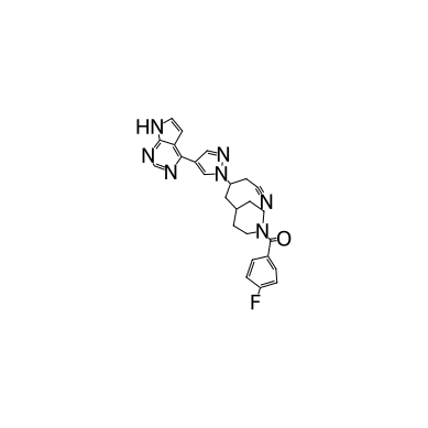 N#CCC(CC1CCN(C(=O)c2ccc(F)cc2)CC1)n1cc(-c2ncnc3[nH]ccc23)cn1